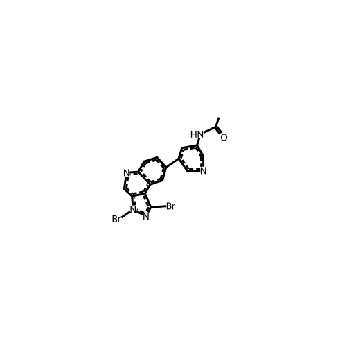 CC(=O)Nc1cncc(-c2ccc3ncc4c(c(Br)nn4Br)c3c2)c1